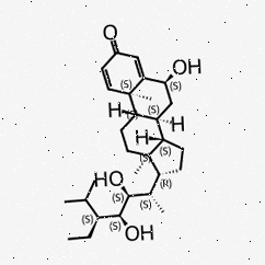 CC[C@@H](C(C)C)[C@H](O)[C@@H](O)[C@@H](C)[C@H]1CC[C@H]2[C@@H]3C[C@H](O)C4=CC(=O)C=C[C@]4(C)[C@H]3CC[C@]12C